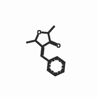 CC1OC(C)C(=Cc2ccccc2)C1=O